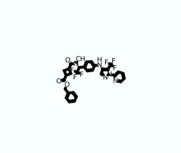 CN(C(=O)C1CC(C(=O)OCc2ccccc2)C1)[C@@H](c1ccc(Nc2cnn(-c3ccccn3)c2C(F)(F)F)cc1)C(F)(F)F